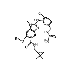 CCOc1cc2c(cc1C(=O)NCC1CC1(C)C)nc(Nc1cc(CNC(=O)C(C)(C)C)ccc1Cl)n2C